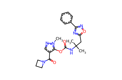 Cn1ncc(C(=O)N2CCC2)c1OC(=O)NC(C)(C)Cc1nc(-c2ccccc2)no1